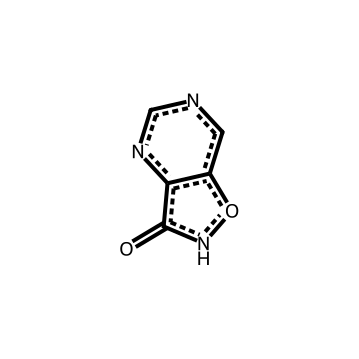 O=c1[nH]oc2cncnc12